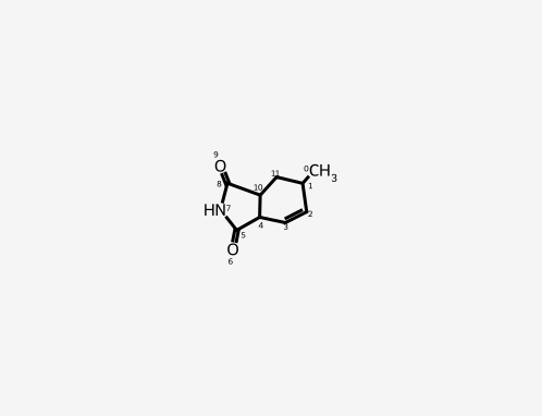 CC1C=CC2C(=O)NC(=O)C2C1